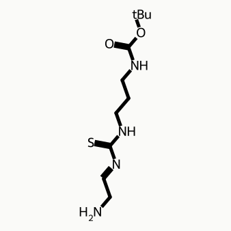 CC(C)(C)OC(=O)NCCCNC(=S)N=CCN